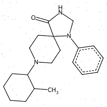 CC1CCCCC1N1CCC2(CC1)C(=O)NCN2c1ccccc1